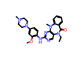 CCN1C(=O)c2ccccc2N(C)c2nc(Nc3ccc(N4CCN(C)CC4)cc3OC)ncc21